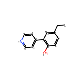 CCc1ccc(O)c(-c2ccncc2)c1